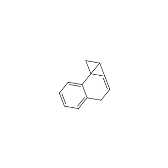 C1=C2[C]3CC32c2ccccc2C1